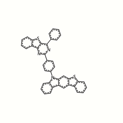 c1ccc(-c2nc(-c3ccc(-n4c5ccccc5c5cc6c(cc54)sc4ccccc46)cc3)nc3c2sc2ccccc23)cc1